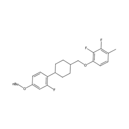 CCCCOc1ccc(C2CCC(COc3ccc(C)c(F)c3F)CC2)c(F)c1